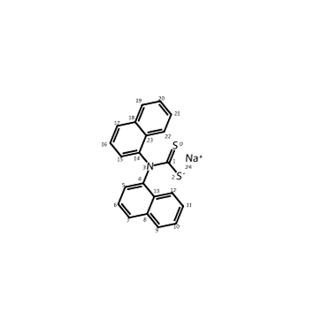 S=C([S-])N(c1cccc2ccccc12)c1cccc2ccccc12.[Na+]